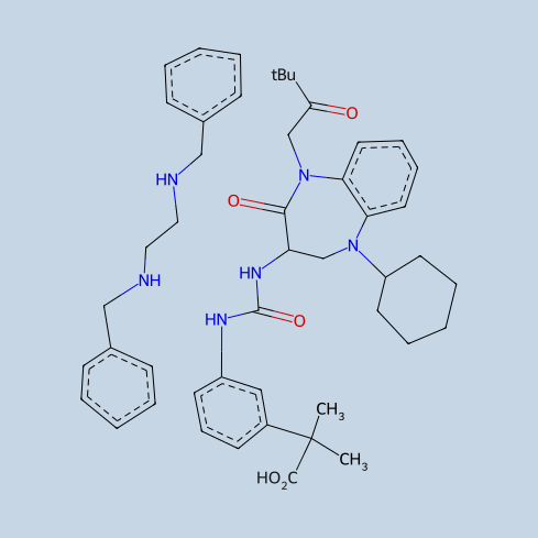 CC(C)(C)C(=O)CN1C(=O)C(NC(=O)Nc2cccc(C(C)(C)C(=O)O)c2)CN(C2CCCCC2)c2ccccc21.c1ccc(CNCCNCc2ccccc2)cc1